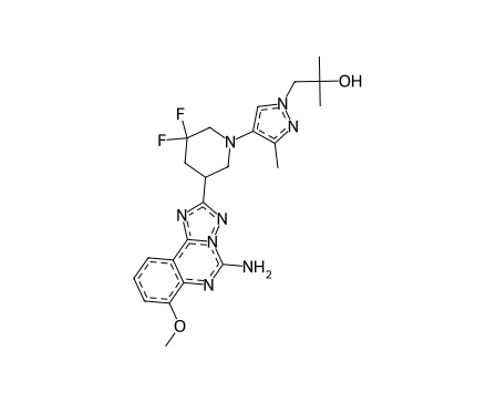 COc1cccc2c1nc(N)n1nc(C3CN(c4cn(CC(C)(C)O)nc4C)CC(F)(F)C3)nc21